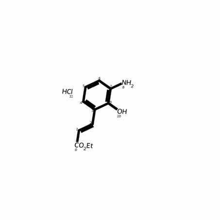 CCOC(=O)C=Cc1cccc(N)c1O.Cl